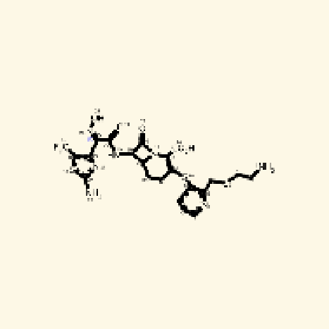 NCCSCc1ncccc1SC1=C(C(=O)O)N2C(=O)C(NC(=O)/C(=N\O)c3nc(N)sc3C(F)(F)F)C2CC1